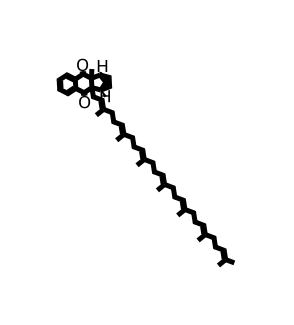 CC(C)=CCC/C(C)=C/CC/C(C)=C/CC/C(C)=C/CC/C(C)=C/CC/C(C)=C/CC/C(C)=C/CC12C(=O)c3ccccc3C(=O)C1(C)[C@@H]1C=C[C@H]2C1